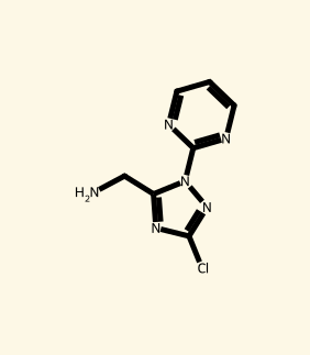 NCc1nc(Cl)nn1-c1ncccn1